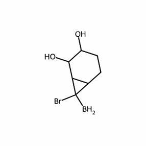 BC1(Br)C2CCC(O)C(O)C21